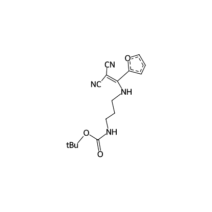 CC(C)(C)OC(=O)NCCCNC(=C(C#N)C#N)c1ccco1